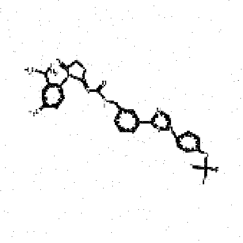 Cc1ccc(N2C(=O)CSC2=NC(=O)NCc2cccc(-c3ncn(-c4ccc(OC(F)(F)F)cc4)n3)c2)c(C(C)C)c1